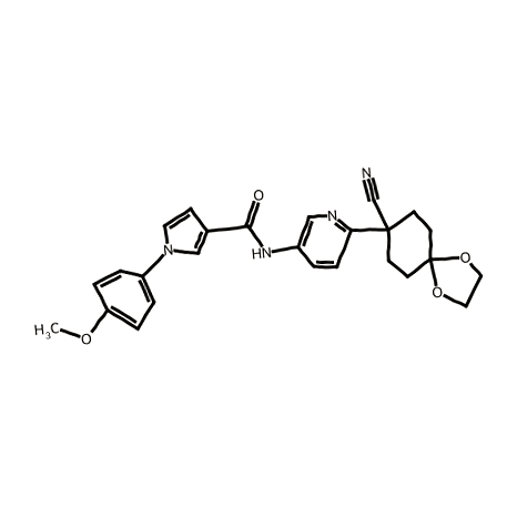 COc1ccc(-n2ccc(C(=O)Nc3ccc(C4(C#N)CCC5(CC4)OCCO5)nc3)c2)cc1